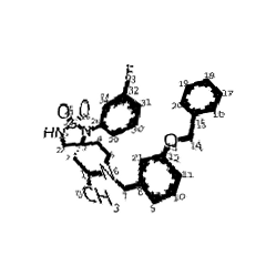 C[C@H]1C[C@]2(CCN1Cc1cccc(OCc3ccccc3)c1)CNS(=O)(=O)N2c1cccc(F)c1